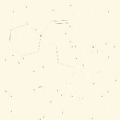 C=CC1(CC[Si](OCC)(OCC)OCC)CCCCC1